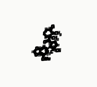 COc1cc([C@@H]2N(C(=O)[C@@]3(C)SSCC(=O)N3C)CC[C@]2(C)C#N)cc2c1OCO2